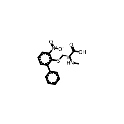 CN[C@@H](CSc1c(-c2ccccc2)cccc1[N+](=O)[O-])C(=O)O